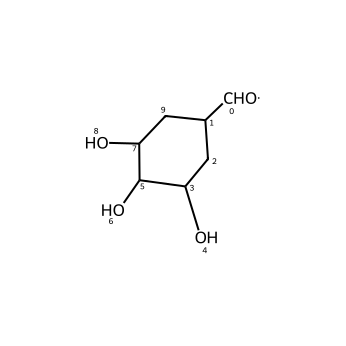 O=[C]C1CC(O)C(O)C(O)C1